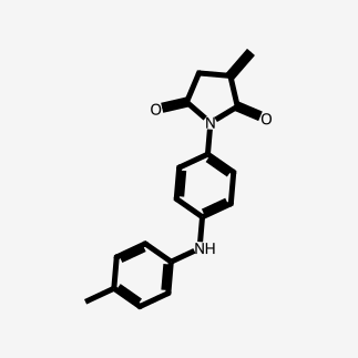 C=C1CC(=O)N(c2ccc(Nc3ccc(C)cc3)cc2)C1=O